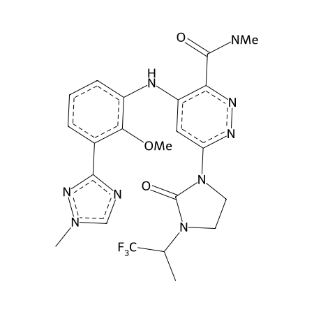 CNC(=O)c1nnc(N2CCN(C(C)C(F)(F)F)C2=O)cc1Nc1cccc(-c2ncn(C)n2)c1OC